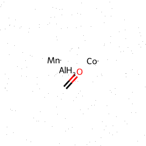 C=O.[AlH3].[Co].[Mn]